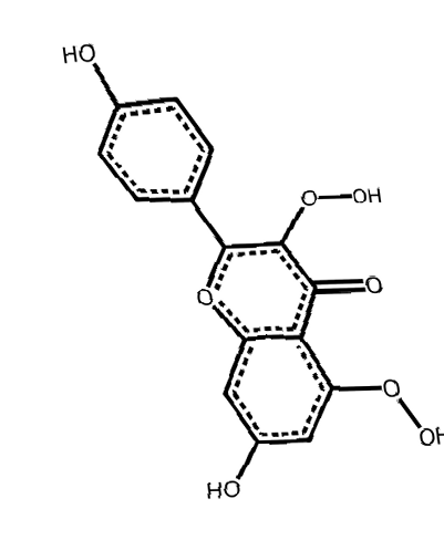 O=c1c(OO)c(-c2ccc(O)cc2)oc2cc(O)cc(OO)c12